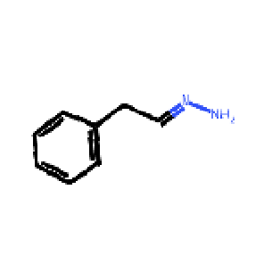 NN=CCc1ccccc1